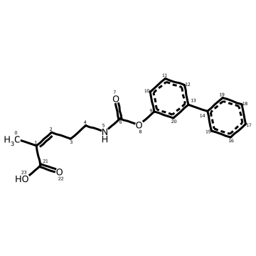 CC(=CCCNC(=O)Oc1cccc(-c2ccccc2)c1)C(=O)O